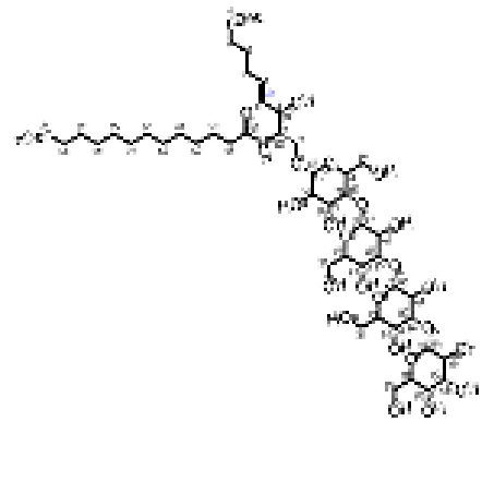 CCCCCCCCCCCCC/C=C/[C@@H](O)[C@H](CO[C@@H]1OC(CO)[C@@H](O[C@@H]2OC(CO)[C@H](O)[C@H](O[C@H]3OC(CO)[C@H](O)[C@H](O[C@H]4OC(CO)[C@H](O)[C@H](O)C4O)C3O)C2O)[C@H](O)C1O)NC(=O)CCCCCCCCCCCCCCCCCCCCC